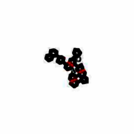 c1ccc(-c2cccc3cccc(-c4ccccc4N(c4ccc(-c5ccc(-c6cccc7ccccc67)cc5)cc4)c4ccccc4-c4cccc5c4oc4ccccc45)c23)cc1